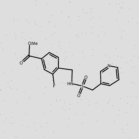 COC(=O)c1ccc(CNS(=O)(=O)Cc2cccnc2)c(F)c1